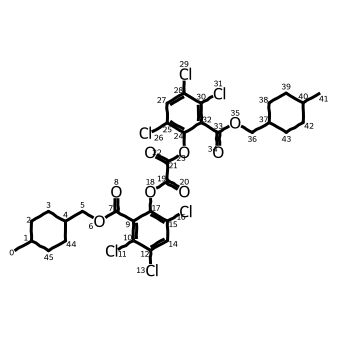 CC1CCC(COC(=O)c2c(Cl)c(Cl)cc(Cl)c2OC(=O)C(=O)Oc2c(Cl)cc(Cl)c(Cl)c2C(=O)OCC2CCC(C)CC2)CC1